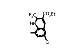 CCOC(=O)C1=Cc2cc(Cl)cc(C)c2NC1C(F)(F)F